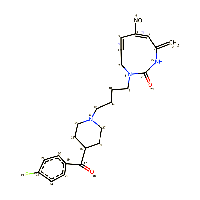 C=C1/C=C(N=O)\C=C/CN(CCCCN2CCC(C(=O)c3ccc(F)cc3)CC2)C(=O)N1